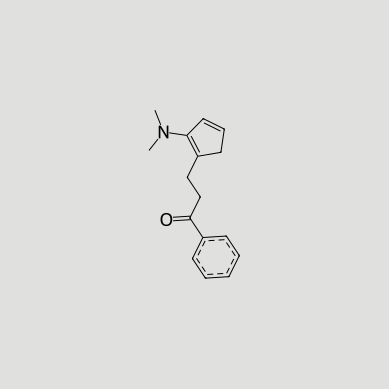 CN(C)C1=C(CCC(=O)c2ccccc2)CC=C1